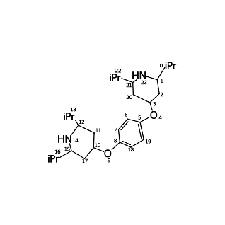 CC(C)C1CC(Oc2ccc(OC3CC(C(C)C)NC(C(C)C)C3)cc2)CC(C(C)C)N1